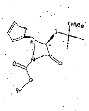 COC(C)(C)O[C@H]1C(=O)N(C(=O)OC(C)C)[C@H]1c1cccs1